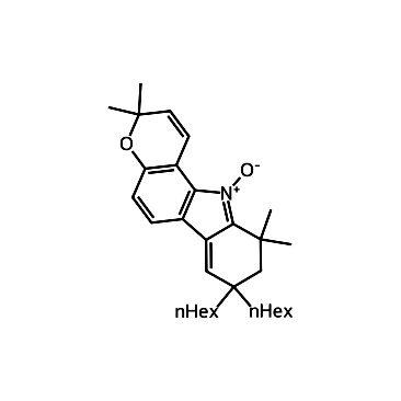 CCCCCCC1(CCCCCC)C=C2C(=[N+]([O-])c3c2ccc2c3C=CC(C)(C)O2)C(C)(C)C1